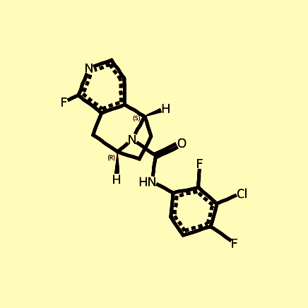 O=C(Nc1ccc(F)c(Cl)c1F)N1[C@@H]2CC[C@H]1c1ccnc(F)c1C2